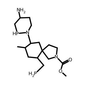 COC(=O)N1CCC2(CC(N3CCC(N)CP3)C(C)CC2CP)C1